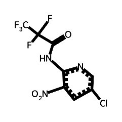 O=C(Nc1ncc(Cl)cc1[N+](=O)[O-])C(F)(F)C(F)(F)F